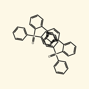 O=P(c1ccccc1)(c1ccccc1)c1ccccc1-c1ccc(-c2ccccc2P(=O)(c2ccccc2)c2ccccc2)nc1